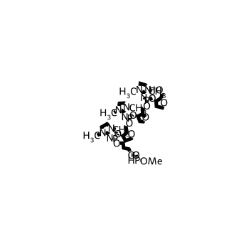 COPOOCCCOP(N=C1N(C)CCN1C)O[C@@H]1CCOC1COP(N=C1N(C)CCN1C)O[C@@H]1CCOC1COP(N=C1N(C)CCN1C)O[C@@H]1CCOC1CO